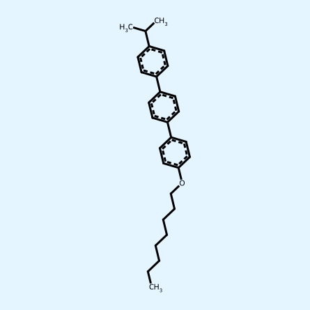 CCCCCCCCOc1ccc(-c2ccc(-c3ccc(C(C)C)cc3)cc2)cc1